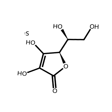 O=C1O[C@H]([C@@H](O)CO)C(O)=C1O.[S]